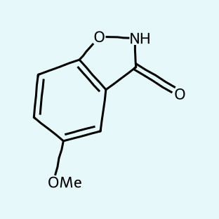 COc1ccc2o[nH]c(=O)c2c1